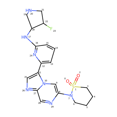 O=S1(=O)CCCCN1c1cn2c(-c3cccc(NC4CNCC4F)n3)cnc2cn1